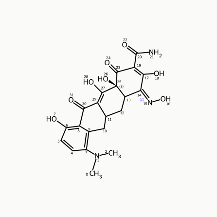 CN(C)c1ccc(O)c2c1CC1CC3/C(=N/O)C(O)=C(C(N)=O)C(=O)[C@@]3(O)C(O)=C1C2=O